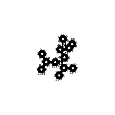 c1ccc(-c2cc(-c3ccccc3)cc(-c3ccc(N(c4cc(-c5ccccc5)cc(-c5ccccc5)c4)c4cccc(-c5cccc6c5c5ccc7ccccc7c5n6-c5ccccc5)c4)cc3)c2)cc1